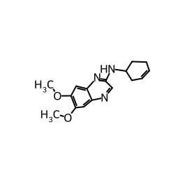 COc1cc2ncc(NC3CC=CCC3)nc2cc1OC